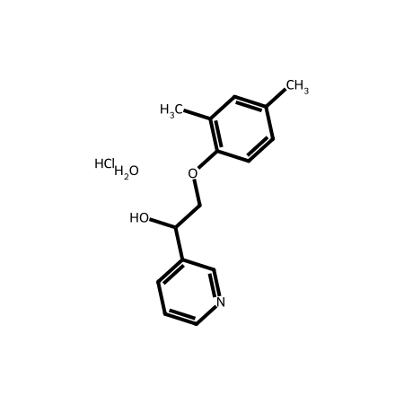 Cc1ccc(OCC(O)c2cccnc2)c(C)c1.Cl.O